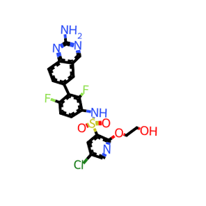 Nc1ncc2cc(-c3c(F)ccc(NS(=O)(=O)c4cc(Cl)cnc4OCCO)c3F)ccc2n1